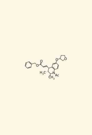 CC(=O)N1c2ccc(OC3CCOC3)cc2[C@H](/C=C/C(=O)OCc2ccccc2)[C@@H](C)[C@@H]1C